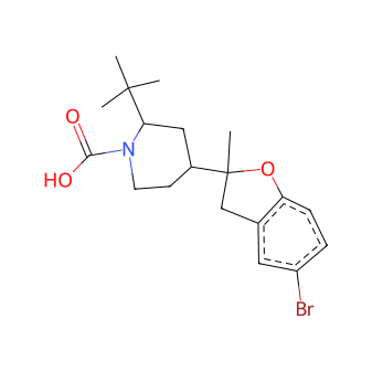 CC(C)(C)C1CC(C2(C)Cc3cc(Br)ccc3O2)CCN1C(=O)O